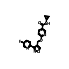 O=C(NC1CC1)c1ccc(OCc2conc2-c2ccc(F)cn2)nc1